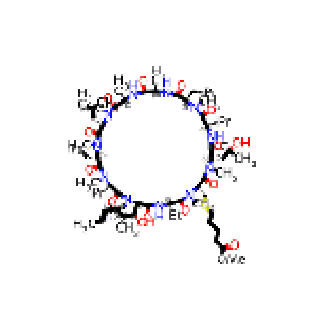 C/C=C/C[C@@H](C)[C@@H](O)[C@H]1C(=O)N[C@@H](CC)C(=O)N(C)[C@@H](CSCCCCC(=O)OC)C(=O)N(C)[C@@H](CC(C)(C)O)C(=O)N[C@H](C(C)C)C(=O)N(C)[C@H](CC(C)C)C(=O)N[C@H](C)C(=O)N[C@@H](C)C(=O)N(C)[C@@H](C=C(C)C)C(=O)N(C)[C@@H](CC(C)C)C(=O)N(C)[C@@H](C(C)C)C(=O)N1C